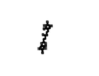 O=C(/C=C/C(=O)Oc1c[nH]c(=O)[nH]c1=O)OCCc1c[nH]c(=O)[nH]c1=O